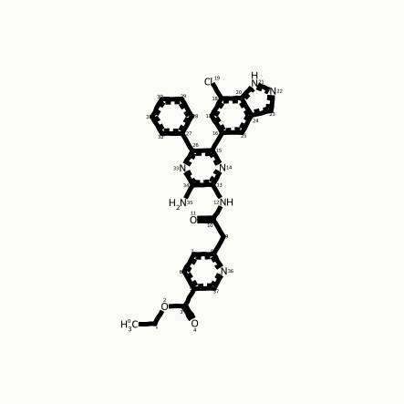 CCOC(=O)c1ccc(CC(=O)Nc2nc(-c3cc(Cl)c4[nH]ncc4c3)c(-c3ccccc3)nc2N)nc1